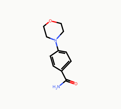 NC(=O)c1c[c]c(N2CCOCC2)cc1